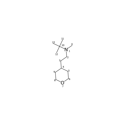 CN(CCC1CCOCC1)C(C)(C)C